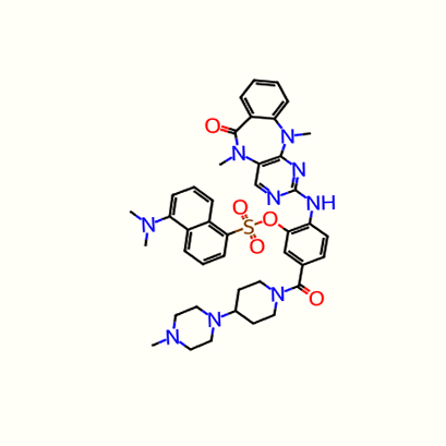 CN1CCN(C2CCN(C(=O)c3ccc(Nc4ncc5c(n4)N(C)c4ccccc4C(=O)N5C)c(OS(=O)(=O)c4cccc5c(N(C)C)cccc45)c3)CC2)CC1